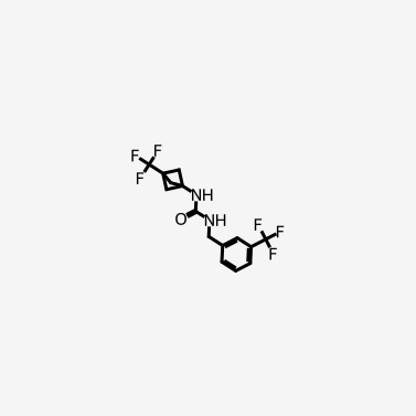 O=C(NCc1cccc(C(F)(F)F)c1)NC12CC(C(F)(F)F)(C1)C2